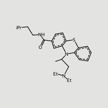 CCN(CC)CC(C)N1c2ccccc2Sc2ccc(C(=O)NCCC(C)C)cc21